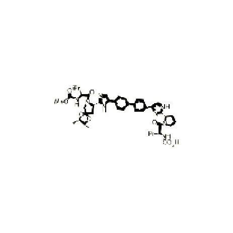 COC(=O)N[C@H](C(=O)N1CC2(C[C@H]1c1ncc(-c3ccc(-c4ccc(-c5c[nH]c([C@@H]6CCCN6C(=O)[C@@H](NC(=O)O)C(C)C)n5)cc4)cc3)[nH]1)O[C@H](C)[C@@H](C)O2)C(C)C